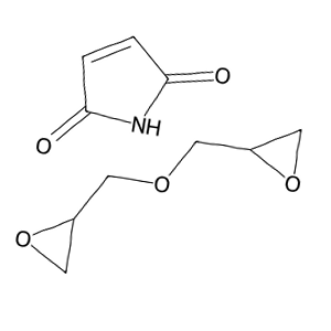 C(OCC1CO1)C1CO1.O=C1C=CC(=O)N1